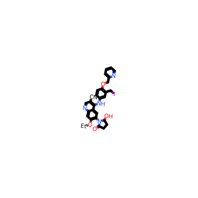 CCOc1cc2ncc(C#N)c(Nc3ccc(OCc4ccccn4)c(CI)c3)c2cc1N1C(=O)CCC1O